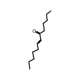 CCCCCC=CC(=O)CCCCC